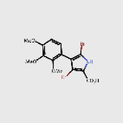 COc1ccc(-c2c(Br)[nH]c(C(=O)O)c2Br)c(OC)c1OC